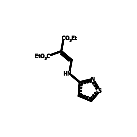 CCOC(=O)C(=CNc1ccsn1)C(=O)OCC